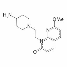 COc1ccc2ccc(=O)n(CCN3CCC(N)CC3)c2n1